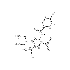 CCN(CC)c1cc(NC(=O)c2ccc(F)cc2)c([N+](=O)[O-])cc1[N+](=O)[O-]